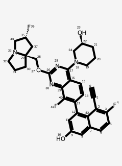 C#Cc1c(F)ccc2cc(O)cc(-c3ccc4c(N5CCC[C@H](O)C5)nc(OC[C@@]56CCCN5C[C@H](F)C6)nc4c3F)c12